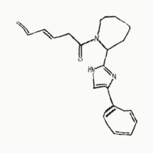 C=C/C=C/CC(=O)N1CCCCC1c1nc(-c2ccccc2)c[nH]1